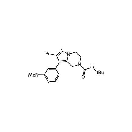 CNc1cc(-c2c(Br)nn3c2CN(C(=O)OC(C)(C)C)CC3)ccn1